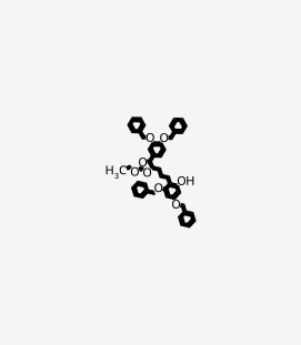 CCOC1OC(CCCc2c(O)cc(OCc3ccccc3)cc2OCc2ccccc2)C(c2ccc(OCc3ccccc3)c(OCc3ccccc3)c2)O1